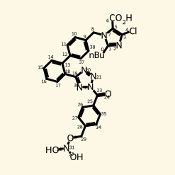 CCCCc1nc(Cl)c(C(=O)O)n1Cc1ccc(-c2ccccc2-c2nnn(C(=O)c3ccc(CON(O)O)cc3)n2)cc1